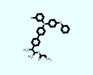 C=CC(=O)OC(C)C(C)c1ccc(-c2ccc(N(c3ccc(Oc4ccccc4)cc3)c3cccc(F)c3)cc2)cc1